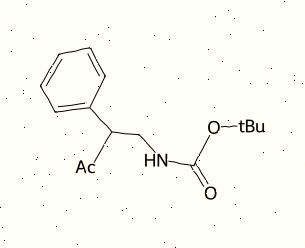 CC(=O)C(CNC(=O)OC(C)(C)C)c1ccccc1